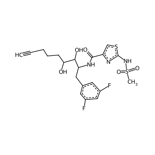 C#CCCCC(O)C(O)C(Cc1cc(F)cc(F)c1)NC(=O)c1csc(NS(C)(=O)=O)n1